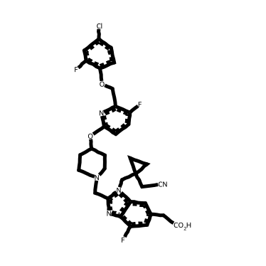 N#CCC1(Cn2c(CN3CCC(Oc4ccc(F)c(COc5ccc(Cl)cc5F)n4)CC3)nc3c(F)cc(CC(=O)O)cc32)CC1